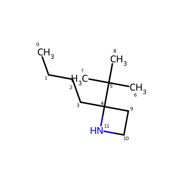 CCCCC1(C(C)(C)C)CCN1